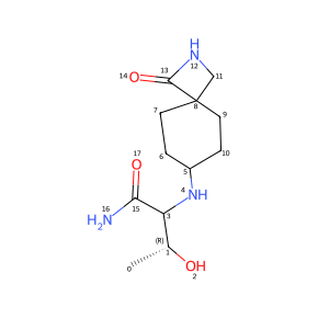 C[C@@H](O)C(NC1CCC2(CC1)CNC2=O)C(N)=O